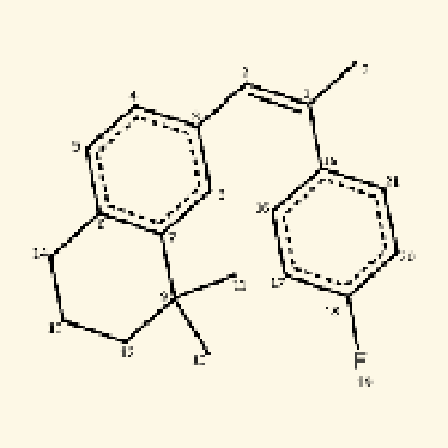 CC(=Cc1ccc2c(c1)C(C)(C)CCC2)c1ccc(F)cc1